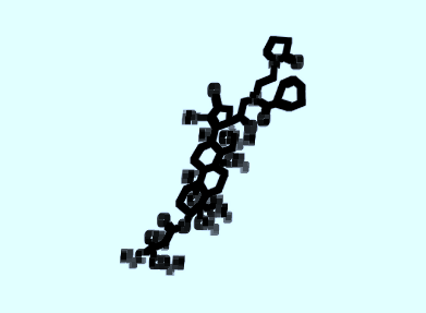 CC(C)C1=C2[C@H]3CC[C@@H]4[C@@]5(C)CC[C@H](OC(=O)CC(C)(C)C(=O)O)C(C)(C)[C@@H]5CC[C@@]4(C)[C@]3(C)CC[C@@]2([C@H](O)CN(CCN2CCCC2=O)C(=O)c2ccccc2)CC1=O